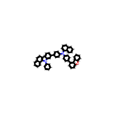 c1ccc(-n2c3cc(-c4ccc(N(c5ccc(-c6cccc7oc8ccccc8c67)cc5)c5cccc6ccccc56)cc4)ccc3c3ccc4ccccc4c32)cc1